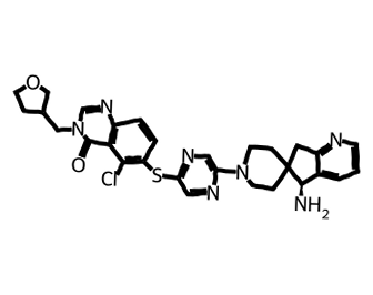 N[C@@H]1c2cccnc2CC12CCN(c1cnc(Sc3ccc4ncn(CC5CCOC5)c(=O)c4c3Cl)cn1)CC2